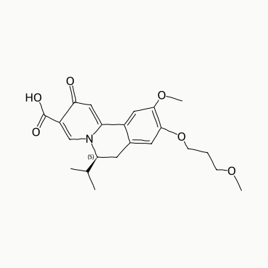 COCCCOc1cc2c(cc1OC)-c1cc(=O)c(C(=O)O)cn1[C@H](C(C)C)C2